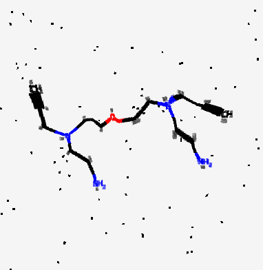 C#CCN(CCN)CCOCCN(CC#C)CCN